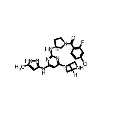 Cc1cc(Nc2cc(N3C[C@H]4NCC43)nc(N[C@H]3CCN(C(=O)c4ccc(Cl)cc4F)C3)n2)n[nH]1